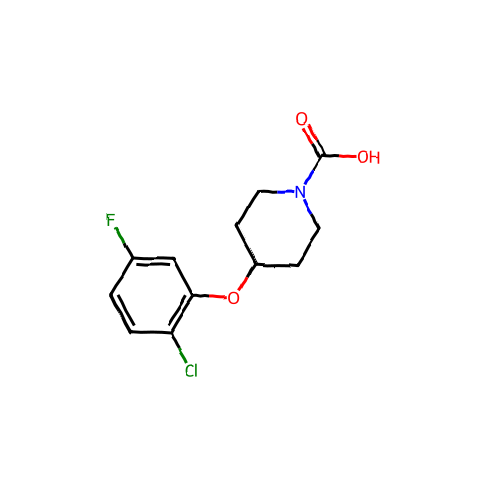 O=C(O)N1CCC(Oc2cc(F)ccc2Cl)CC1